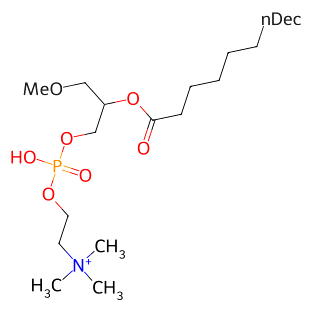 CCCCCCCCCCCCCCCC(=O)OC(COC)COP(=O)(O)OCC[N+](C)(C)C